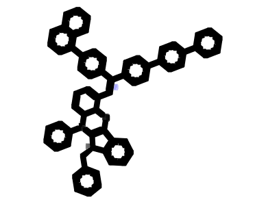 C1=CC2C(OC3=C([C@H](Cc4ccccc4)c4ccccc43)N2c2ccccc2)C(/C=C(/c2ccc(-c3ccc(-c4ccccc4)cc3)cc2)c2ccc(-c3cccc4ccccc34)cc2)=C1